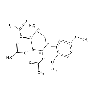 COc1ccc(OC)c([C@H]2O[C@@H](C)[C@H](OC(C)=O)[C@@H](OC(C)=O)[C@H]2OC(C)=O)c1